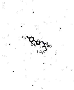 CCOC(=O)CN1C(=O)S/C(=C/c2ccc(-c3ccc([N+](=O)[O-])cc3C)o2)C1=O